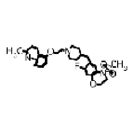 Cc1ccc2c(OCCN3CCC(Cc4cc5c(cc4F)OCCN5S(C)(=O)=O)CC3)cccc2n1